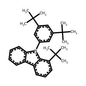 CC(C)(C)c1cc(-n2c3ccccc3c3cccc(C(C)(C)C)c32)cc(C(C)(C)C)c1